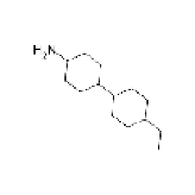 CCC1CCC(C2CCC(N)CC2)CC1